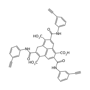 C#Cc1cccc(NC(=O)C2=C(C(=O)O)c3cc(C(=O)Nc4cccc(C#C)c4)c(C(=O)O)c4cc(C(=O)Nc5cccc(C#C)c5)c(C(=O)O)c(c34)C2)c1